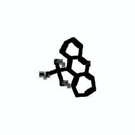 CC(C)(C)c1c2c(nc3ccccc13)=CC=CCC=2